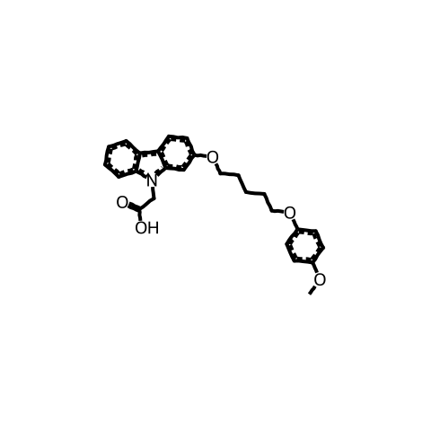 COc1ccc(OCCCCCOc2ccc3c4ccccc4n(CC(=O)O)c3c2)cc1